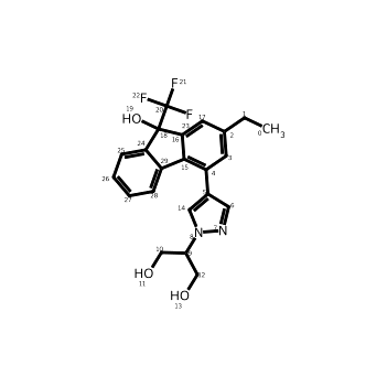 CCc1cc(-c2cnn(C(CO)CO)c2)c2c(c1)C(O)(C(F)(F)F)c1ccccc1-2